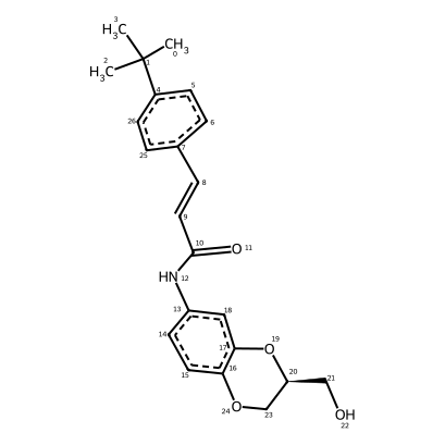 CC(C)(C)c1ccc(/C=C/C(=O)Nc2ccc3c(c2)O[C@@H](CO)CO3)cc1